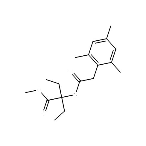 CCC(CC)(NC(=O)Cc1c(C)cc(C)cc1C)C(=O)OC